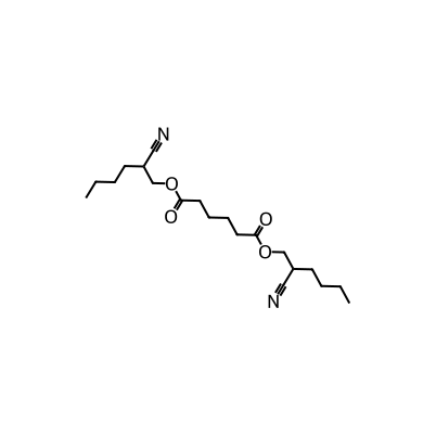 CCCCC(C#N)COC(=O)CCCCC(=O)OCC(C#N)CCCC